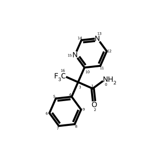 NC(=O)C(c1ccccc1)(c1ccncn1)C(F)(F)F